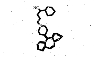 N#CC(CCCN1CCC(=C2c3ccccc3C=Cc3ccccc32)CC1)C1CCCCC1